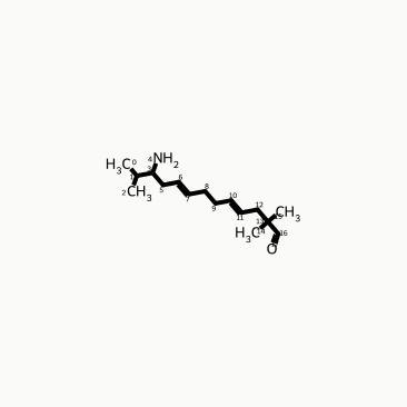 CC(C)C(N)CC=CCCC=CCC(C)(C)C=O